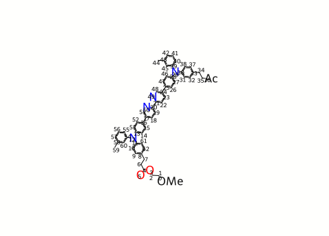 COCCOC(=O)CCc1ccc(N(c2ccc(-c3ccc(-c4ccc(-c5ccc(N(c6ccc(CCC(C)=O)cc6)c6cccc(C)c6)cc5)cn4)nc3)cc2)c2cccc(C)c2)cc1